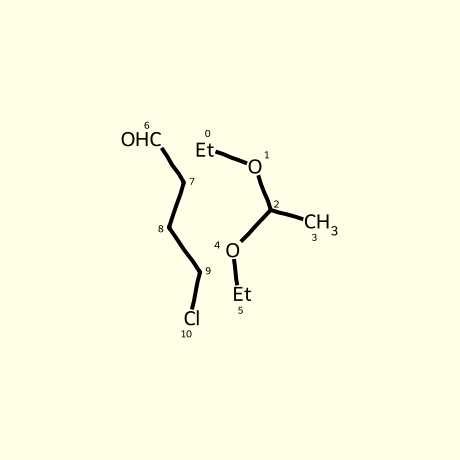 CCOC(C)OCC.O=CCCCCl